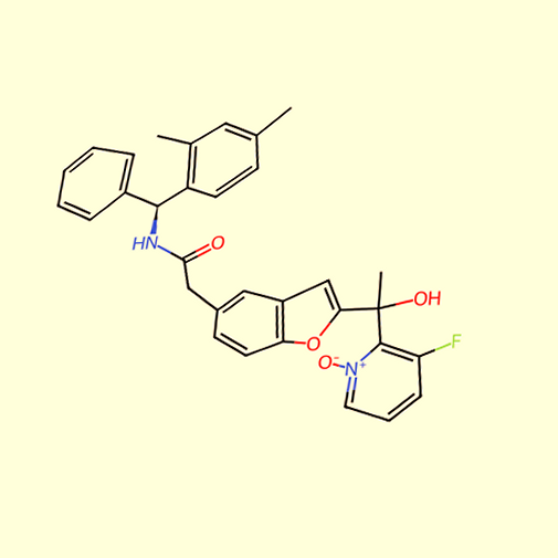 Cc1ccc([C@@H](NC(=O)Cc2ccc3oc(C(C)(O)c4c(F)ccc[n+]4[O-])cc3c2)c2ccccc2)c(C)c1